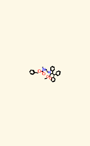 CCOC(=O)c1c(C(c2ccccc2)c2ccccc2)c2ccccc2n1CCN(C)C(=O)OCc1ccccc1